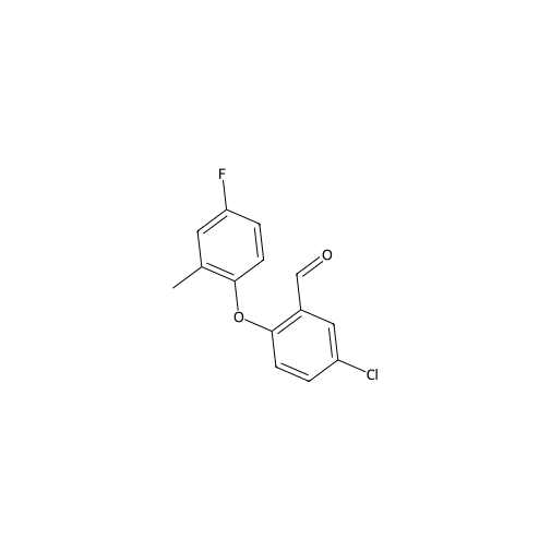 Cc1cc(F)ccc1Oc1ccc(Cl)cc1C=O